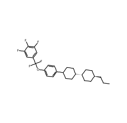 CCC[C@H]1CC[C@H](C2CCC(c3ccc(OC(F)(F)c4cc(F)c(F)c(F)c4)cc3)CC2)CC1